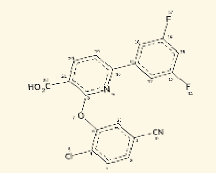 N#Cc1ccc(Cl)c(Oc2nc(-c3cc(F)cc(F)c3)ccc2C(=O)O)c1